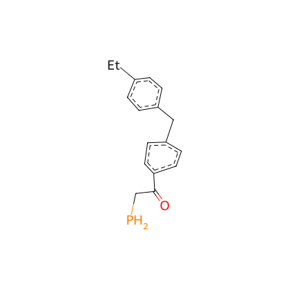 CCc1ccc(Cc2ccc(C(=O)CP)cc2)cc1